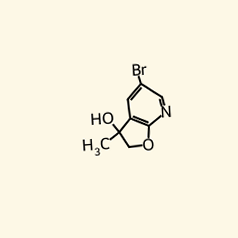 CC1(O)COc2ncc(Br)cc21